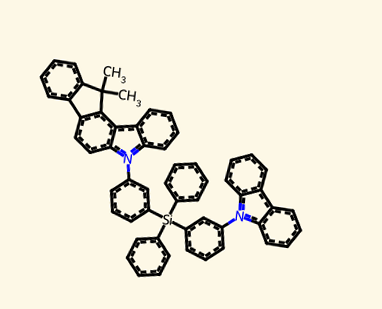 CC1(C)c2ccccc2-c2ccc3c(c21)c1ccccc1n3-c1cccc([Si](c2ccccc2)(c2ccccc2)c2cccc(-n3c4ccccc4c4ccccc43)c2)c1